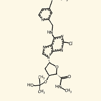 CNC(=O)[C@H]1O[C@@H](n2cnc3c(NCc4cc(OC)ccn4)nc(Cl)nc32)C[C@@H]1OC(C)(C)O